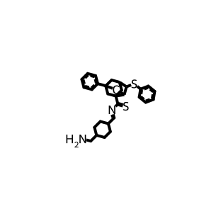 NCC1CCC(/C=N/C(=S)C23CC4CC(c5ccccc5)(CC2C4Sc2ccccc2)C3)CC1